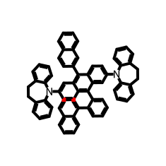 c1ccc2c(c1)CCc1ccccc1N2c1ccc2c(-c3ccccc3-c3cccc4ccccc34)c3cc(N4c5ccccc5CCc5ccccc54)ccc3c(-c3ccc4ccccc4c3)c2c1